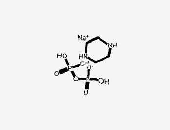 C1CNCCN1.O=P([O-])(O)OP(=O)(O)O.[Na+]